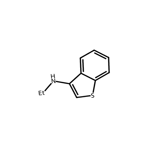 CCNc1csc2ccccc12